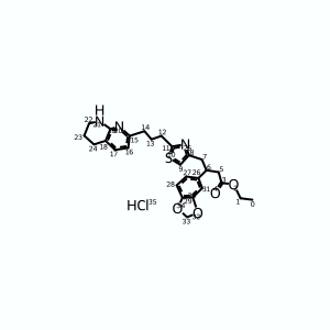 CCOC(=O)CC(Cc1csc(CCCc2ccc3c(n2)NCCC3)n1)c1ccc2c(c1)OCO2.Cl